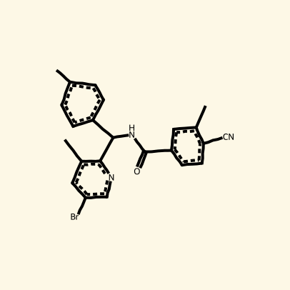 Cc1ccc(C(NC(=O)c2ccc(C#N)c(C)c2)c2ncc(Br)cc2C)cc1